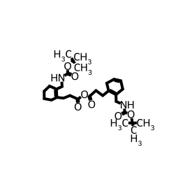 CC(C)(C)OC(=O)NCC1=C(CCC(=O)OC(=O)CCC2=C(CNC(=O)OC(C)(C)C)CCCC2)CC=CC1